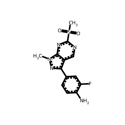 Cn1nc(-c2ccc(N)c(F)c2)c2cnc(S(C)(=O)=O)nc21